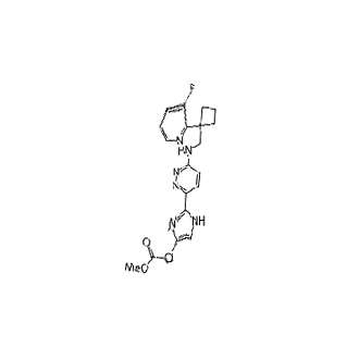 COC(=O)Oc1c[nH]c(-c2ccc(NCC3(c4ncccc4F)CCC3)nn2)n1